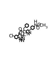 COC(=O)Nc1ccc(-c2cc(C(Cc3ccccc3)NC(=O)/C=C/c3cc(Cl)ccc3-n3cnnn3)c(C)nn2)cc1